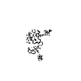 CC1(C)C(/C=C/C2=C(c3ccc(C(=O)ON4C(=O)CCC4=O)cc3)C(=C/C=C3/N(CCCS(=O)(=O)O)c4ccc5ccccc5c4C3(C)C)/CCC2)=[N+](CCCS(=O)(=O)O)c2ccc3ccccc3c21